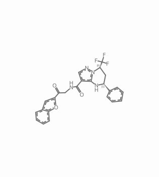 O=C(CNC(=O)c1cnn2c1N[C@H](c1ccccc1)C[C@@H]2C(F)(F)F)c1cc2ccccc2o1